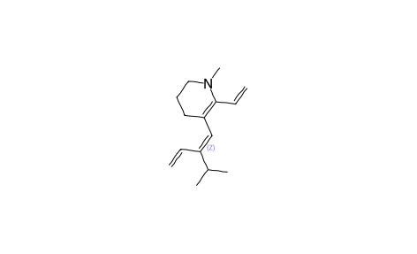 C=CC1=C(/C=C(\C=C)C(C)C)CCCN1C